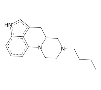 CCCCN1CCN2c3cccc4[nH]cc(c34)CC2C1